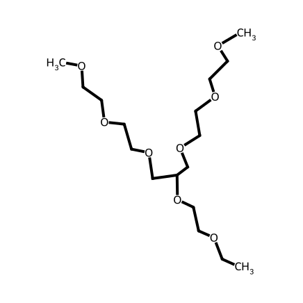 CCOCCOC(COCCOCCOC)COCCOCCOC